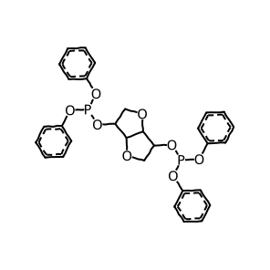 c1ccc(OP(Oc2ccccc2)OC2COC3C(OP(Oc4ccccc4)Oc4ccccc4)COC23)cc1